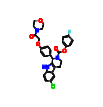 O=C(COc1ccc(C2c3[nH]c4ccc(Cl)cc4c3CCN2C(=O)Oc2ccc(F)cc2)cc1)N1CCOCC1